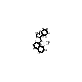 Cl.NCC(Cc1cccc2ccccc12)c1ccccc1